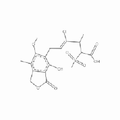 COc1c(C)c2c(c(O)c1C/C=C(\Cl)C(C)C(C(=O)O)S(C)(=O)=O)C(=O)OC2